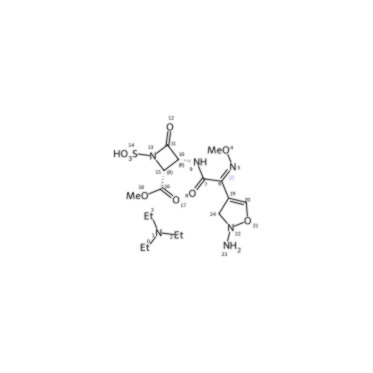 CCN(CC)CC.CO/N=C(\C(=O)N[C@H]1C(=O)N(S(=O)(=O)O)[C@H]1C(=O)OC)C1=CON(N)C1